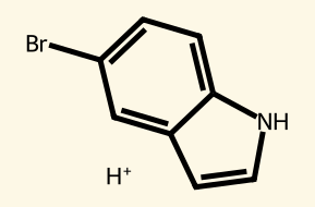 Brc1ccc2[nH]ccc2c1.[H+]